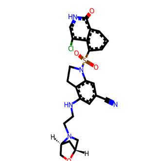 N#Cc1cc(NCCN2C[C@H]3C[C@H]2CO3)c2c(c1)N(S(=O)(=O)c1cccc3c(=O)[nH]cc(Cl)c13)CC2